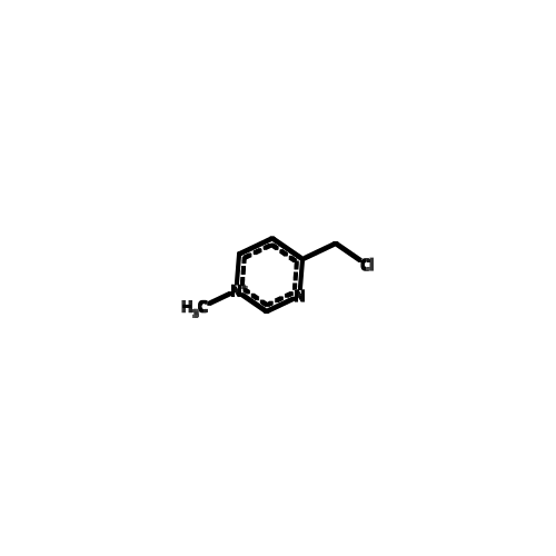 C[n+]1ccc(CCl)nc1